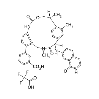 Cc1cc2ccc1[C@@H](C)COC(=O)Nc1ccc(-c3cccc(C(=O)O)c3)c(c1)CN(C)C(=O)[C@@H]2Nc1ccc2cc[nH]c(=O)c2c1.O=C(O)C(F)(F)F